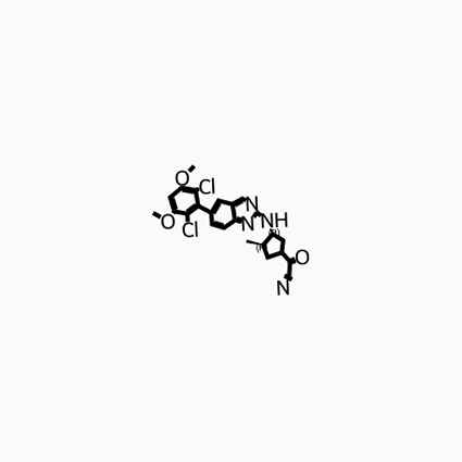 COc1cc(OC)c(Cl)c(-c2ccc3nc(N[C@@H]4CC(C(=O)C#N)C[C@H]4C)ncc3c2)c1Cl